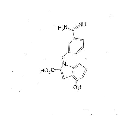 N=C(N)c1cccc(Cn2c(C(=O)O)cc3c(O)cccc32)c1